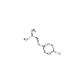 CC(N)SCc1ccc(Cl)cc1